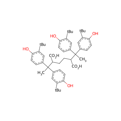 CC(C)(C)c1cc(C(C)(c2ccc(O)c(C(C)(C)C)c2)C(CCC(C(=O)O)C(C)(c2ccc(O)c(C(C)(C)C)c2)c2ccc(O)c(C(C)(C)C)c2)C(=O)O)ccc1O